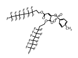 Cc1ccc(S(=O)(=O)OC(=CC(=O)OCCC(F)(F)C(F)(F)C(F)(F)C(F)(F)C(F)(F)C(F)(F)F)C(=O)OCCC(F)(F)C(F)(F)C(F)(F)C(F)(F)C(F)(F)C(F)(F)F)cc1